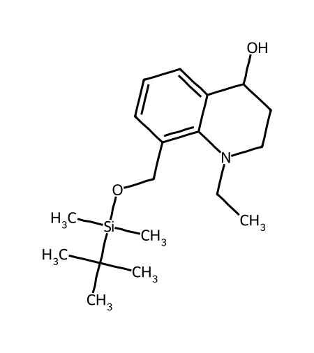 CCN1CCC(O)c2cccc(CO[Si](C)(C)C(C)(C)C)c21